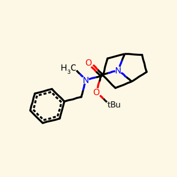 CN(Cc1ccccc1)C1CC2CCC(C1)N2C(=O)OC(C)(C)C